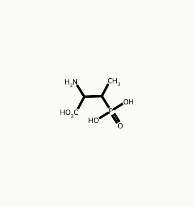 CC(C(N)C(=O)O)P(=O)(O)O